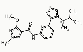 COc1nn(C)cc1C(=O)Nc1cccc(-c2nncn2[C@H](C)C(C)C)n1